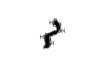 O=C1CC[C@H](N2Cc3cc([C@@H](O)CCN4CCN(c5ccc(-c6cnc7[nH]cc(C(=O)c8c(F)ccc(NS(=O)(=O)N9CC[C@@H](F)C9)c8F)c7c6)cc5)CC4)ccc3C2=O)C(=O)N1